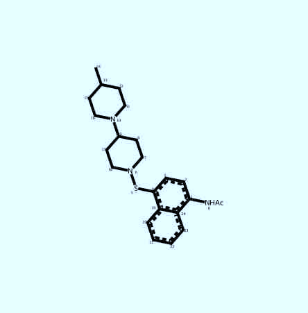 CC(=O)Nc1ccc(SN2CCC(N3CCC(C)CC3)CC2)c2ccccc12